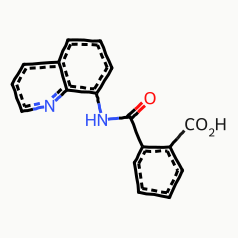 O=C(O)c1ccccc1C(=O)Nc1cccc2cccnc12